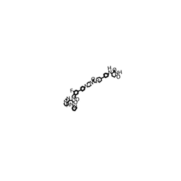 O=C1CCC(Nc2ccc(C3CCN(CC(=O)N4CCN(c5ccc(-c6cc(F)c7c(c6)C(=O)N(C(C(=O)Nc6ccccn6)c6ncn8c6CCC8)C7)cc5)CC4)CC3)cc2)C(=O)N1